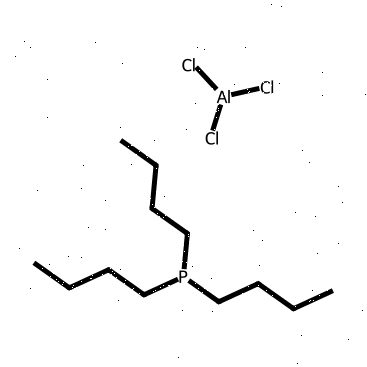 CCCCP(CCCC)CCCC.[Cl][Al]([Cl])[Cl]